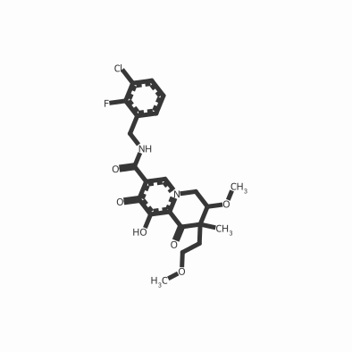 COCCC1(C)C(=O)c2c(O)c(=O)c(C(=O)NCc3cccc(Cl)c3F)cn2CC1OC